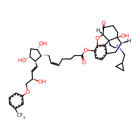 O=C(CCC/C=C\C[C@@H]1[C@@H](/C=C/[C@@H](O)COc2cccc(C(F)(F)F)c2)[C@H](O)C[C@@H]1O)Oc1ccc2c3c1O[C@@H]1C(=O)CC[C@]4(O)[C@H](C2)N(CC2CC2)CC[C@@]314